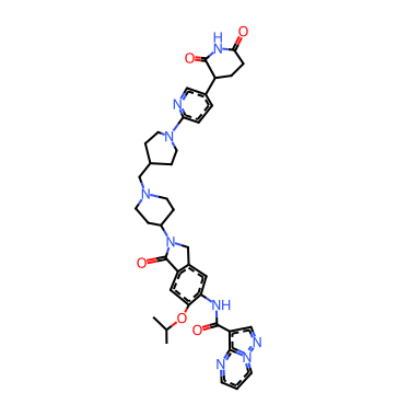 CC(C)Oc1cc2c(cc1NC(=O)c1cnn3cccnc13)CN(C1CCN(CC3CCN(c4ccc(C5CCC(=O)NC5=O)cn4)CC3)CC1)C2=O